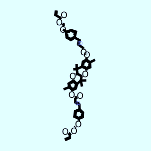 C=CC(=O)OCOc1ccc(/C=C/COOc2cc3c(cc2C)OC2C(Oc4cc(C)c(OC(=O)/C=C/c5ccc(OCOC(=O)C=C)cc5)cc4C2(C)C)C3(C)C)cc1